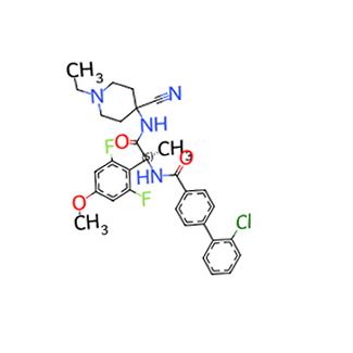 CCN1CCC(C#N)(NC(=O)[C@@](C)(NC(=O)c2ccc(-c3ccccc3Cl)cc2)c2c(F)cc(OC)cc2F)CC1